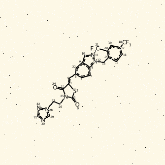 O=C1S/C(=C\c2ccc3c(cnn3Cc3ccc(C(F)(F)F)cc3C(F)(F)F)c2)C(=O)N1CCn1cncn1